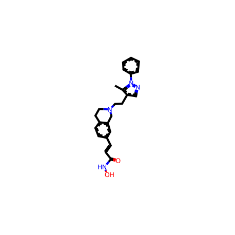 Cc1c(CCN2CCc3ccc(C=CC(=O)NO)cc3C2)cnn1-c1ccccc1